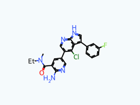 CCN(C)C(=O)c1cc(-c2cnc3[nH]cc(-c4cccc(F)c4)c3c2Cl)cnc1N